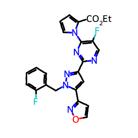 CCOC(=O)c1cccn1-c1nc(-c2cc(-c3ccon3)n(Cc3ccccc3F)n2)ncc1F